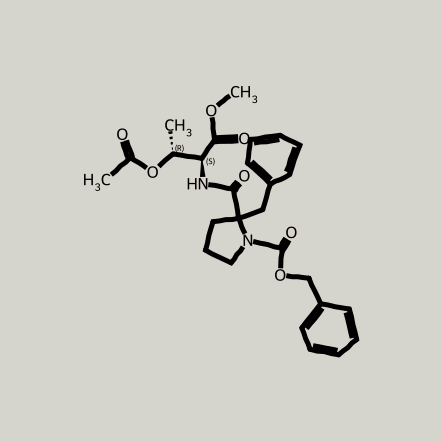 COC(=O)[C@@H](NC(=O)C1(Cc2ccccc2)CCCN1C(=O)OCc1ccccc1)[C@@H](C)OC(C)=O